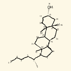 C[C@H](CCCI)C1CCC2C3CC[C@H]4C[C@@H](O)CCC4(C)C3CCC21C